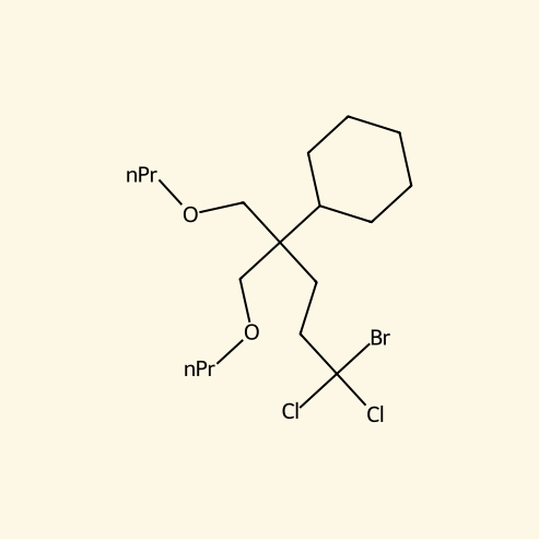 CCCOCC(CCC(Cl)(Cl)Br)(COCCC)C1CCCCC1